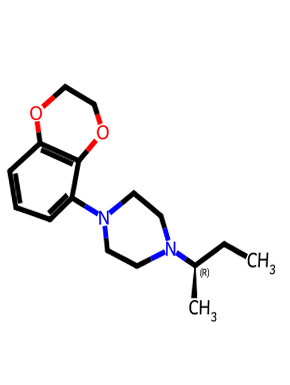 CC[C@@H](C)N1CCN(c2cccc3c2OCCO3)CC1